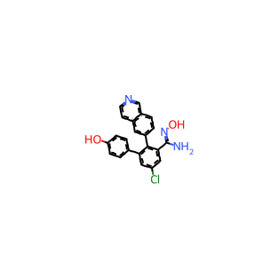 NC(=NO)c1cc(Cl)cc(-c2ccc(O)cc2)c1-c1ccc2cnccc2c1